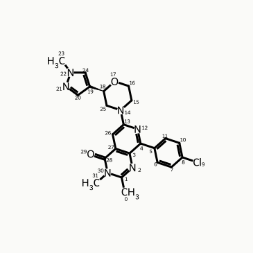 Cc1nc2c(-c3ccc(Cl)cc3)nc(N3CCO[C@H](c4cnn(C)c4)C3)cc2c(=O)n1C